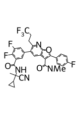 CNC(=O)c1c(-c2ccc(F)cc2)oc2nc(CCC(F)(F)F)c(-c3cc(F)c(F)c(C(=O)NC(C)(C#N)C4CC4)c3)cc12